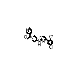 COc1ccc(Cl)cc1-c1ccnc(NC2CCN(C(C=O)c3cccnc3)CC2)n1